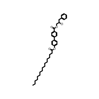 CCCCCCCCCCCCCCCCC(=O)Oc1ccc(-c2ccc(C(=O)OCC(Cl)Cc3ccccc3)cc2)cc1